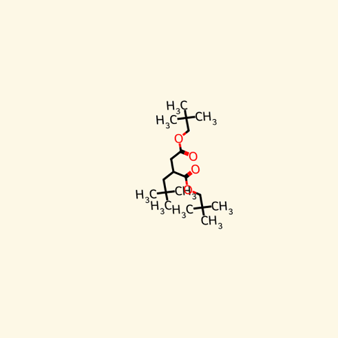 CC(C)(C)COC(=O)CC(CC(C)(C)C)C(=O)OCC(C)(C)C